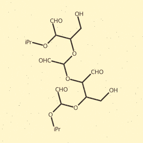 CC(C)OC(C=O)OC(CO)C(C=O)OC(C=O)OC(CO)C(C=O)OC(C)C